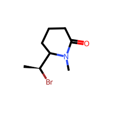 C[C@H](Br)C1CCCC(=O)N1C